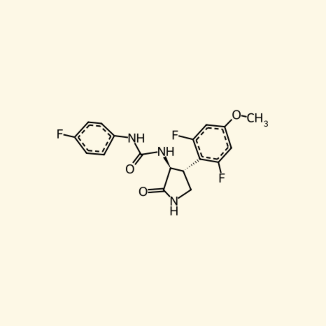 COc1cc(F)c([C@@H]2CNC(=O)[C@H]2NC(=O)Nc2ccc(F)cc2)c(F)c1